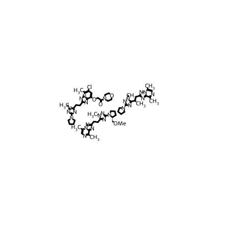 COC[C@H]1CCCN1c1nc(CCc2nc3c(C)ncc(C)n3n2)n(C)n1.Cc1c(Cl)cc(OCC(=O)N2CCOCC2)c2nc(CCc3nc(N4CCCC4)nn3C)nn12.Cc1ncc(C)n2nc(CC(C)c3nc(N4CCCC4)nn3C)nc12